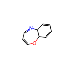 C1=COC2C=CC=CC2N=C1